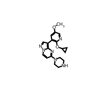 COc1cnc(OC2CC2)c(-c2cnn3ccc(N4CCNCC4)nc23)c1